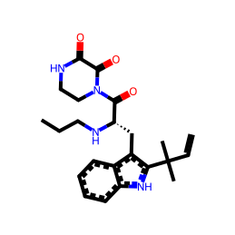 C=CC(C)(C)c1[nH]c2ccccc2c1C[C@H](NCCC)C(=O)N1CCNC(=O)C1=O